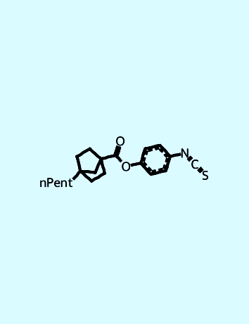 CCCCCC12CCC(C(=O)Oc3ccc(N=C=S)cc3)(CC1)C2